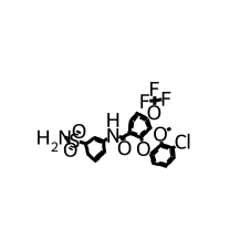 COc1c(Cl)cccc1Oc1cc(OC(F)(F)F)ccc1C(=O)NC1=CC(S(N)(=O)=O)CC=C1